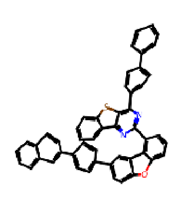 c1ccc(-c2ccc(-c3nc(-c4cccc5oc6ccc(-c7ccc(-c8ccc9ccccc9c8)cc7)cc6c45)nc4c3sc3ccccc34)cc2)cc1